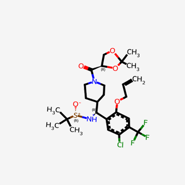 C=CCOc1cc(C(F)(F)F)c(Cl)cc1[C@H](N[S@@+]([O-])C(C)(C)C)C1CCN(C(=O)[C@H]2COC(C)(C)O2)CC1